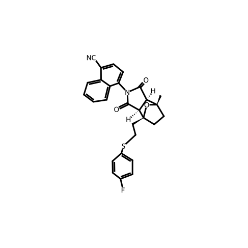 C[C@@]12CC[C@@](CCSc3ccc(F)cc3)(O1)[C@H]1C(=O)N(c3ccc(C#N)c4ccccc34)C(=O)[C@H]12